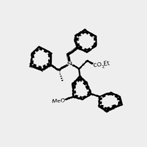 CCOC(=O)CC(c1cc(OC)cc(-c2ccccc2)c1)N(Cc1ccccc1)[C@H](C)c1ccccc1